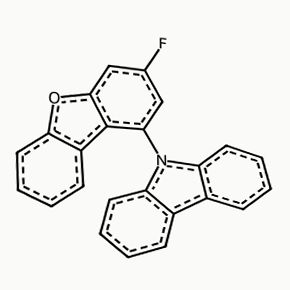 Fc1cc(-n2c3ccccc3c3ccccc32)c2c(c1)oc1ccccc12